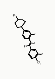 CCCC1CCC(c2ccc(C(F)=C(F)c3ccc(C(F)(F)F)c(F)c3)c(F)c2)CC1